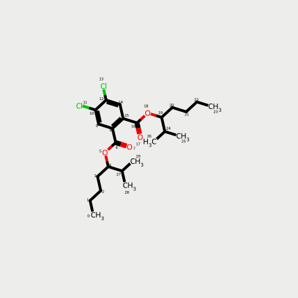 CCCCC(OC(=O)c1cc(Cl)c(Cl)cc1C(=O)OC(CCCC)C(C)C)C(C)C